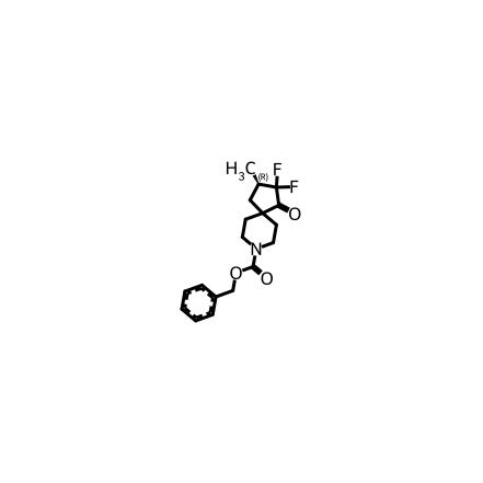 C[C@@H]1CC2(CCN(C(=O)OCc3ccccc3)CC2)C(=O)C1(F)F